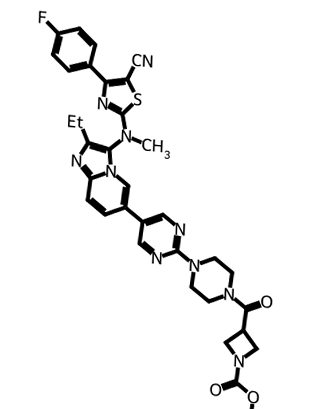 CCc1nc2ccc(-c3cnc(N4CCN(C(=O)C5CN(C(=O)OC(C)(C)C)C5)CC4)nc3)cn2c1N(C)c1nc(-c2ccc(F)cc2)c(C#N)s1